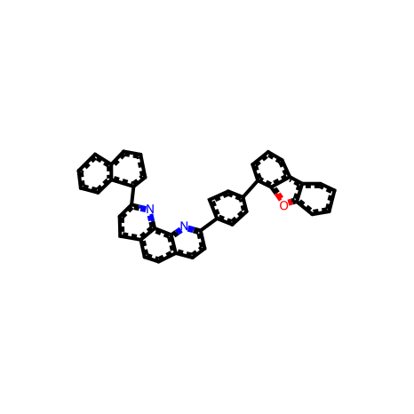 c1ccc2c(-c3ccc4ccc5ccc(-c6ccc(-c7cccc8c7oc7ccccc78)cc6)nc5c4n3)cccc2c1